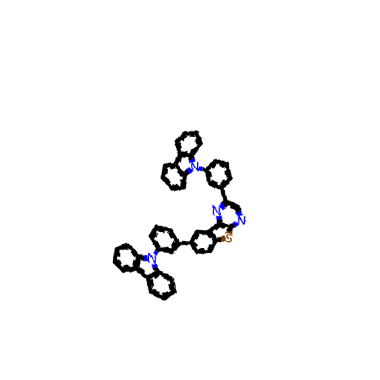 c1cc(-c2ccc3sc4ncc(-c5cccc(-n6c7ccccc7c7ccccc76)c5)nc4c3c2)cc(-n2c3ccccc3c3ccccc32)c1